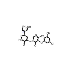 N#Cc1cc(Cl)cc(Oc2c(C(F)(F)F)ncn(Cc3cc(/C(C=N)=C/N)n[nH]c3=O)c2=O)c1